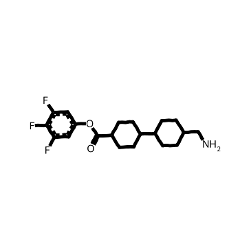 NCC1CCC(C2CCC(C(=O)Oc3cc(F)c(F)c(F)c3)CC2)CC1